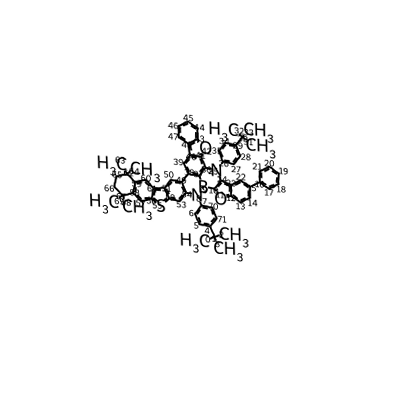 CC(C)(C)c1ccc(N2B3c4oc5ccc(-c6ccccc6)cc5c4N(c4ccc(C(C)(C)C)cc4)c4c3c(cc3c4oc4ccccc43)-c3cc4c(cc32)sc2cc3c(cc24)C(C)(C)CCC3(C)C)cc1